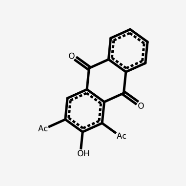 CC(=O)c1cc2c(c(C(C)=O)c1O)C(=O)c1ccccc1C2=O